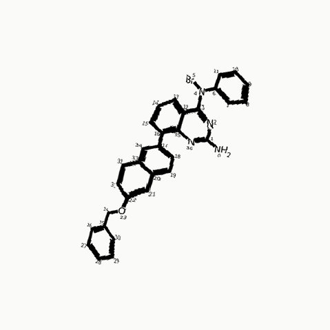 Nc1nc(N(Br)c2ccccc2)c2cccc(-c3ccc4cc(OCc5ccccc5)ccc4c3)c2n1